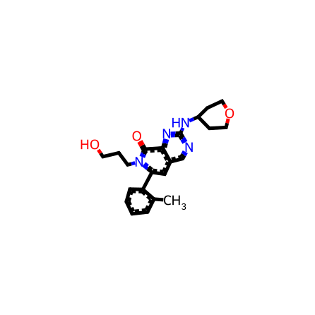 Cc1ccccc1-c1cc2cnc(NC3CCOCC3)nc2c(=O)n1CCCO